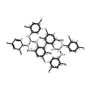 CC1=CC(C)C(OP(Oc2ccc(C)cc2C)Oc2c(C(C)C)cc(C)c(C)c2-c2c(C)c(C)cc(C(C)C)c2OP(Oc2ccc(C)cc2C)Oc2ccc(C)cc2C)C=C1